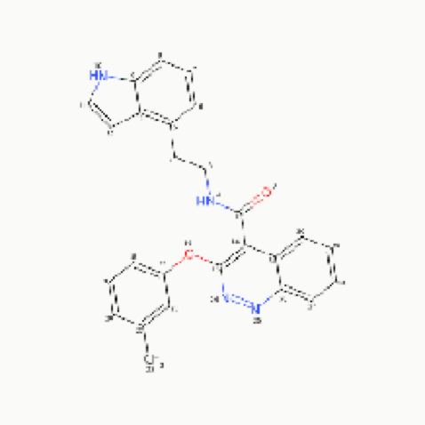 O=C(NCCc1cccc2[nH]ccc12)c1c(Oc2cccc(C(F)(F)F)c2)nnc2ccccc12